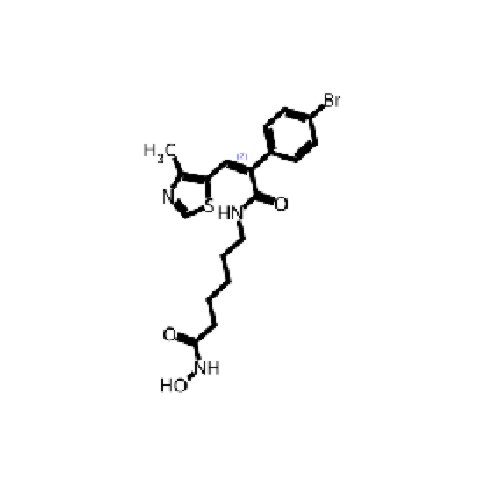 Cc1ncsc1/C=C(\C(=O)NCCCCCC(=O)NO)c1ccc(Br)cc1